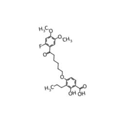 CCCc1c(OCCCCCC(=O)c2cc(OC)c(OC)cc2F)ccc(C(=O)O)c1O